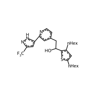 CCCCCCc1cc(CCCCCC)c(C(O)Cc2ccnc(-c3cc(C(F)(F)F)n[nH]3)c2)s1